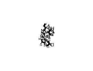 C=C[C@H](OC)c1nnc(NS(=O)(=O)[C@@H](C)[C@H](C)c2ncc(Cl)cn2)n1-c1c(O)ncnc1OC